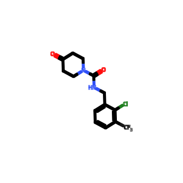 O=C1CCN(C(=O)NCc2cccc(C(F)(F)F)c2Cl)CC1